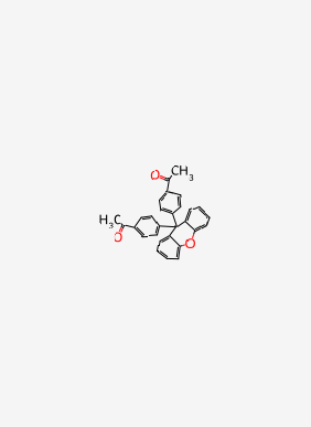 CC(=O)c1ccc(C2(c3ccc(C(C)=O)cc3)c3ccccc3Oc3ccccc32)cc1